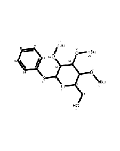 CCCCOC1C(CO)OC(Sc2ccccc2)C(OCCCC)C1OCCCC